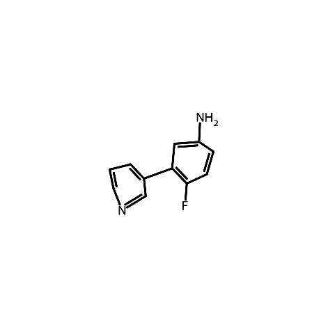 Nc1ccc(F)c(-c2cccnc2)c1